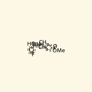 COC(=O)C1CCC(CCC(C)(C)NCC(O)c2cccc(F)c2)CC1